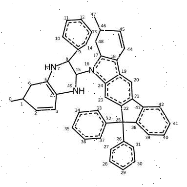 CC1C=CC2=C(C1)NC(c1ccccc1)C(n1c3c(c4cc5c(cc41)C(c1ccccc1)(c1ccccc1)c1ccccc1-5)C=CC(C)C3)N2